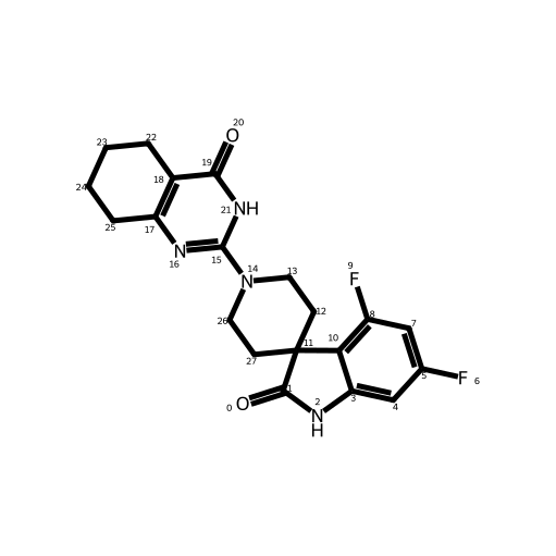 O=C1Nc2cc(F)cc(F)c2C12CCN(c1nc3c(c(=O)[nH]1)CCCC3)CC2